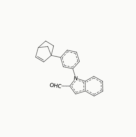 O=Cc1cc2ccccc2n1-c1cccc(C23C=CC(CC2)C3)c1